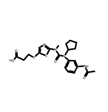 CC(=O)Nc1cccc(N(C(=O)N(C)c2ncc(SCCC(=O)O)s2)C2CCCC2)c1